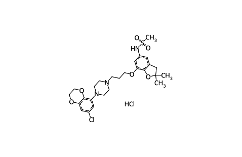 CC1(C)Cc2cc(NS(C)(=O)=O)cc(OCCCN3CCN(c4cc(Cl)cc5c4OCCO5)CC3)c2O1.Cl